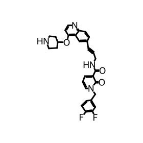 O=C(NCC#Cc1ccc2nccc(OC3CCNCC3)c2c1)c1cccn(Cc2ccc(F)c(F)c2)c1=O